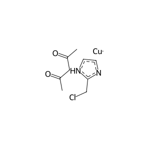 CC(=O)CC(C)=O.ClCc1ncc[nH]1.[Cu]